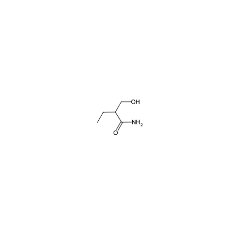 CCC(CO)C(N)=O